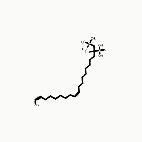 CCC/C=C\CCCCCC/C=C\CCCCCCCCC(O)(C[N+](C)(C)C)P(=O)(O)O